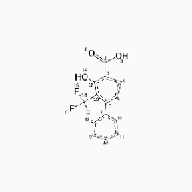 O=C(O)c1ccc(-c2ccccc2)c(C(F)(F)F)c1O